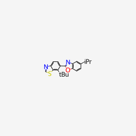 CC(C)c1ccc2oc(-c3ccc4ncsc4c3C(C)(C)C)nc2c1